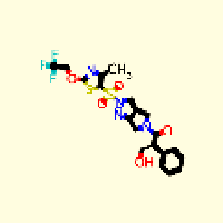 Cc1nc(OCC(F)(F)F)sc1S(=O)(=O)n1cc2c(n1)CN(C(=O)[C@H](CO)c1ccccc1)C2